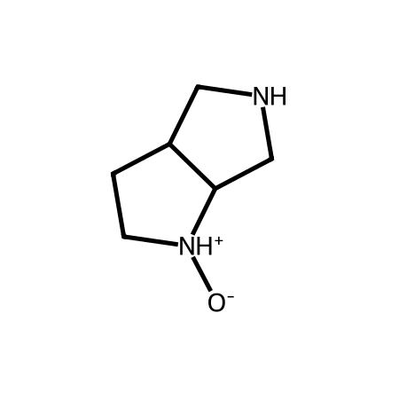 [O-][NH+]1CCC2CNCC21